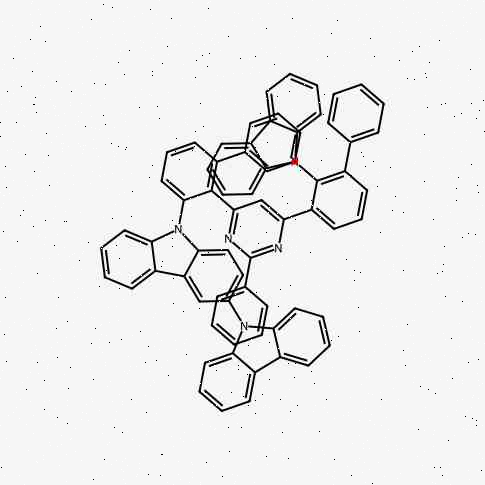 c1ccc(-c2nc(-c3cccc(-c4ccccc4)c3-n3c4ccccc4c4ccccc43)cc(-c3c(-c4ccccc4)cccc3-n3c4ccccc4c4cc(-n5c6ccccc6c6ccccc65)ccc43)n2)cc1